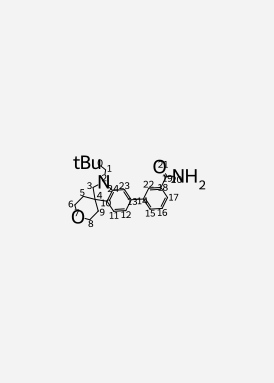 CC(C)(C)CN1CC2(CCOCC2)c2ccc(-c3cccc(C(N)=O)c3)cc21